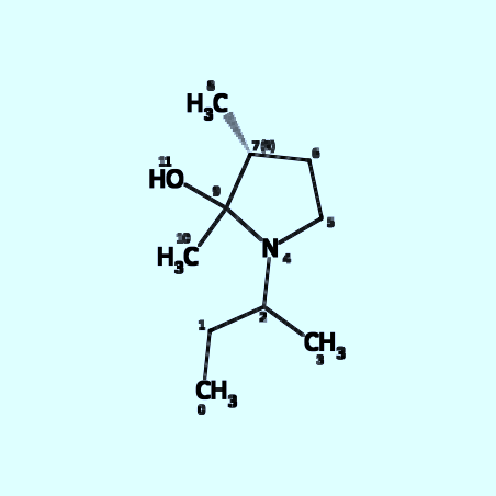 CCC(C)N1CC[C@@H](C)C1(C)O